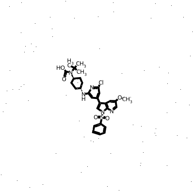 COc1cnc2c(c1)c(-c1cc(Cl)nc(N[C@H]3CC[C@H](N(C(=O)O)C(C)(C)C)CC3)c1)cn2S(=O)(=O)c1ccccc1